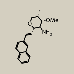 CO[C@@H]1[C@@H](N)[C@H](C=Cc2ccc3ccccc3c2)OC[C@@H]1C